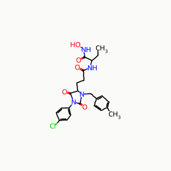 CCC(NC(=O)CCC1C(=O)N(c2ccc(Cl)cc2)C(=O)N1Cc1ccc(C)cc1)C(=O)NO